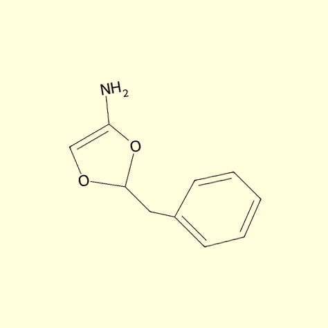 NC1=COC(Cc2ccccc2)O1